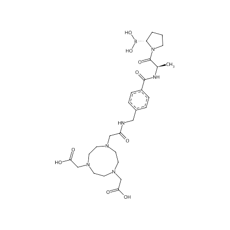 C[C@@H](NC(=O)c1ccc(CNC(=O)CN2CCN(CC(=O)O)CCN(CC(=O)O)CC2)cc1)C(=O)N1CCC[C@H]1B(O)O